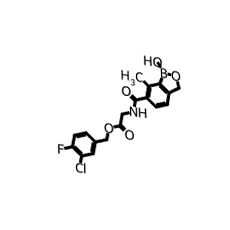 Cc1c(C(=O)NCC(=O)OCc2ccc(F)c(Cl)c2)ccc2c1B(O)OC2